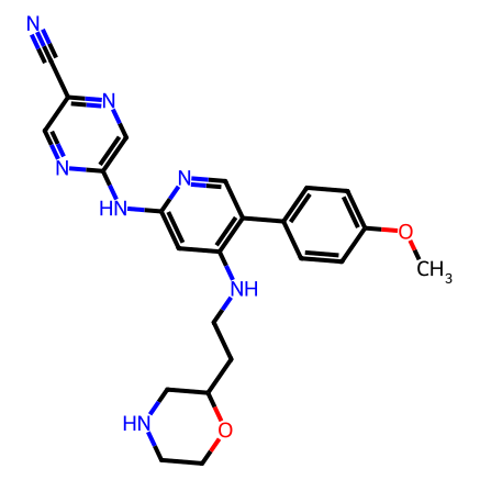 COc1ccc(-c2cnc(Nc3cnc(C#N)cn3)cc2NCCC2CNCCO2)cc1